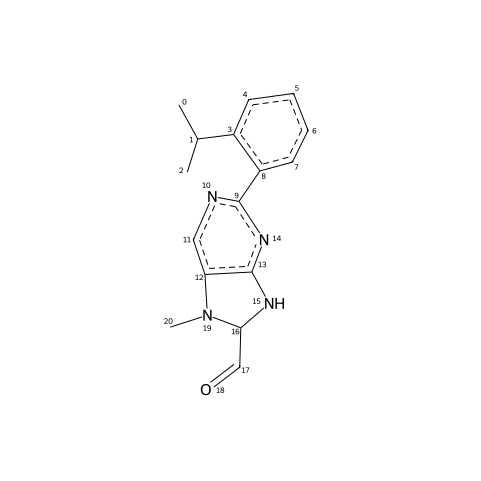 CC(C)c1ccccc1-c1ncc2c(n1)NC(C=O)N2C